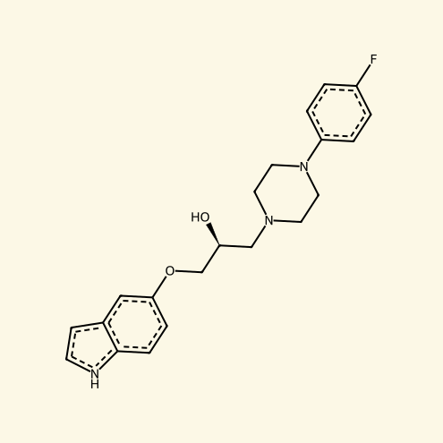 O[C@H](COc1ccc2[nH]ccc2c1)CN1CCN(c2ccc(F)cc2)CC1